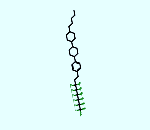 CCCCCC1CCC(C2CCC(c3ccc(CCC(F)(F)C(F)(F)C(F)(F)C(F)(F)C(F)(F)C(F)(F)F)cc3)CC2)CC1